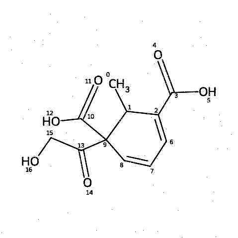 CC1C(C(=O)O)=CC=CC1(C(=O)O)C(=O)CO